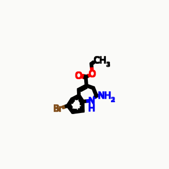 CCOC(=O)C1=Cc2cc(Br)ccc2NC(N)C1